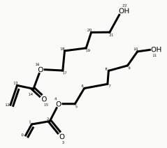 C=CC(=O)OCCCCCCO.C=CC(=O)OCCCCCO